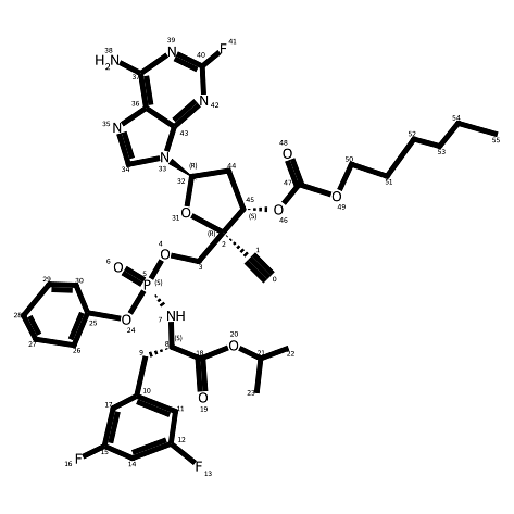 C#C[C@]1(CO[P@@](=O)(N[C@@H](Cc2cc(F)cc(F)c2)C(=O)OC(C)C)Oc2ccccc2)O[C@@H](n2cnc3c(N)nc(F)nc32)C[C@@H]1OC(=O)OCCCCCC